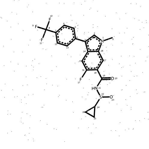 Cn1cc(-c2ccc(C(F)(F)F)cc2)c2cc(F)c(C(=O)N[S+]([O-])C3CC3)cc21